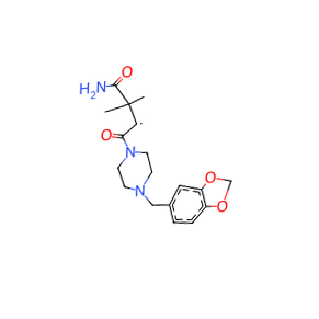 CC(C)([CH]C(=O)N1CCN(Cc2ccc3c(c2)OCO3)CC1)C(N)=O